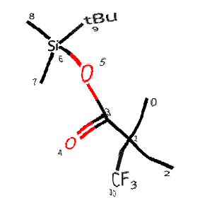 CC(C)(C(=O)O[Si](C)(C)C(C)(C)C)C(F)(F)F